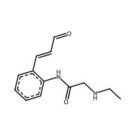 CCNCC(=O)Nc1ccccc1/C=C/[C]=O